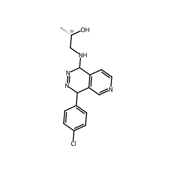 C[C@H](O)CNC1N=NC(c2ccc(Cl)cc2)c2cnccc21